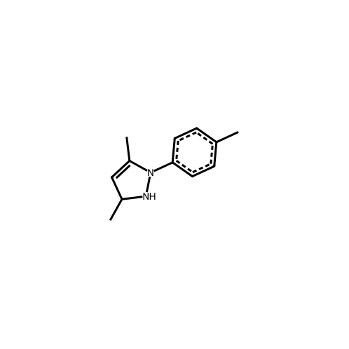 CC1=CC(C)NN1c1ccc(C)cc1